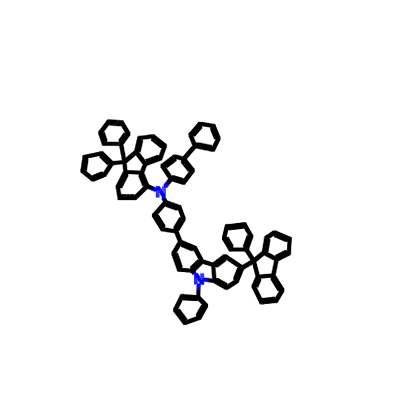 c1ccc(-c2ccc(N(c3ccc(-c4ccc5c(c4)c4cc(C6(c7ccccc7)c7ccccc7-c7ccccc76)ccc4n5-c4ccccc4)cc3)c3cccc4c3-c3ccccc3C4(c3ccccc3)c3ccccc3)cc2)cc1